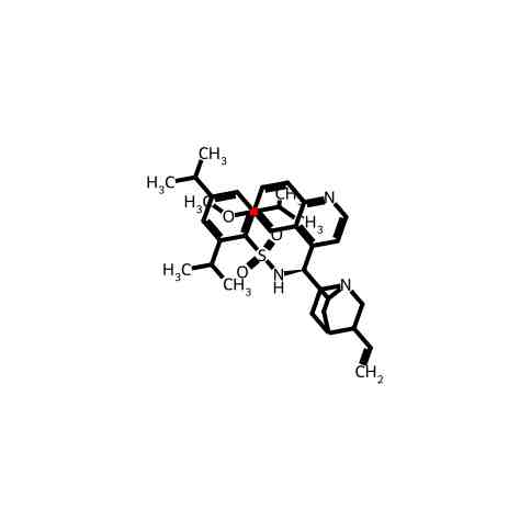 C=CC1CN2CCC1CC2[C@@H](NS(=O)(=O)c1c(C(C)C)cc(C(C)C)cc1C(C)C)c1ccnc2ccc(OC)cc12